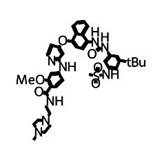 COc1cc(Nc2cc(Oc3ccc(NC(=O)Nc4cc(NS(C)(=O)=O)cc(C(C)(C)C)c4)c4ccccc34)ccn2)ccc1C(=O)NCCN1CCN(C)CC1